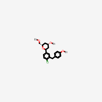 CCOC[C@@H]1C[C@H](OCC)CC(c2ccc(Cl)c(Cc3ccc(OCC)cc3)c2)O1